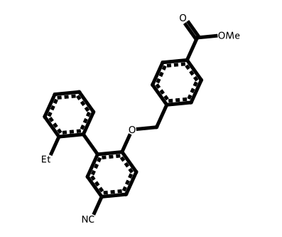 CCc1ccccc1-c1cc(C#N)ccc1OCc1ccc(C(=O)OC)cc1